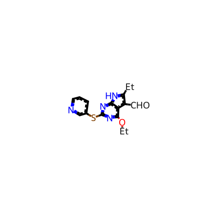 CCOc1nc(Sc2cccnc2)nc2[nH]c(CC)c(C=O)c12